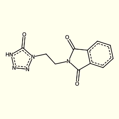 O=C1c2ccccc2C(=O)N1CCn1nn[nH]c1=O